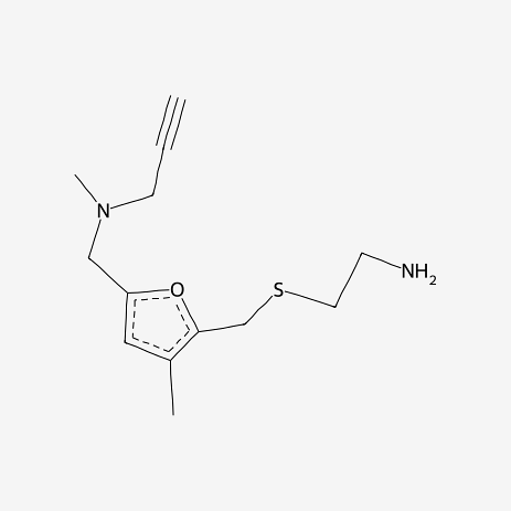 C#CCN(C)Cc1cc(C)c(CSCCN)o1